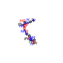 Cc1cc(Nc2ncc(Cl)c(Nc3ccccc3S(=O)(=O)C(C)C)n2)c(OC(C)C)cc1C1CCN(CC(=O)NCCOCC(=O)NC(C(=O)N2C[C@H](O)C[C@H]2C(=O)NCc2ccc(-c3scnc3C)cc2)C(C)(C)C)CC1